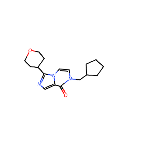 O=c1c2cnc(C3CCOCC3)n2ccn1CC1CCCC1